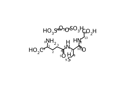 NC(CCC(=O)NC(CS)C(=O)NCC(=O)O)C(=O)O.O=S(=O)(O)OOS(=O)(=O)O